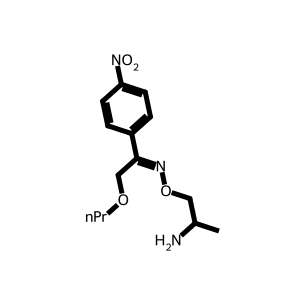 CCCOCC(=NOCC(C)N)c1ccc([N+](=O)[O-])cc1